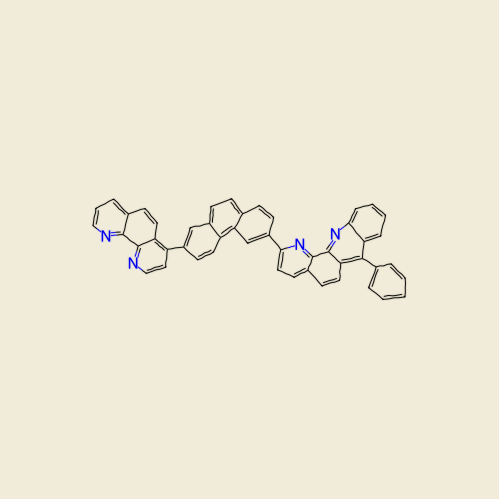 c1ccc(-c2c3ccccc3nc3c2ccc2ccc(-c4ccc5ccc6cc(-c7ccnc8c7ccc7cccnc78)ccc6c5c4)nc23)cc1